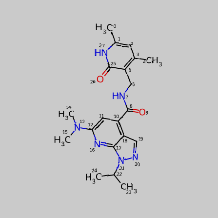 Cc1cc(C)c(CNC(=O)c2cc(N(C)C)nc3c2cnn3C(C)C)c(=O)[nH]1